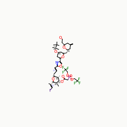 C=C1C[C@H](C[C@@H]2C[C@@H](O[Si](C)(C)C(C)(C)C)C[C@H](c3coc(/C=C/C[C@H]4O[C@@H](/C(C)=C/I)[C@H](C)[C@@H](OC(=O)CP(=O)(OCC(F)(F)F)OCC(F)(F)F)[C@H]4C)n3)O2)O[C@@H](CC=O)C1